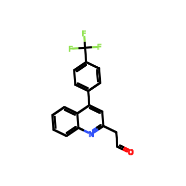 O=CCc1cc(-c2ccc(C(F)(F)F)cc2)c2ccccc2n1